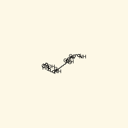 CNC1CCC(CC2CCC(NC(=O)c3ccc4c(c3)C(=O)N(CCCCCCCCCCCC(=O)NC3CCC(CC5CCC(NC(O)c6cccc(C(C)=O)c6)C(C)C5)CC3C)C4=O)C(C)C2)CC1C